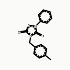 Cc1ccc(Cn2c(=O)sn(-c3ccccc3)c2=O)cc1